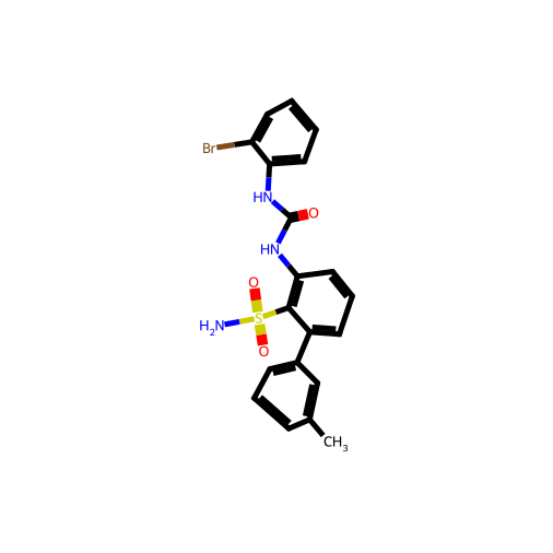 Cc1cccc(-c2cccc(NC(=O)Nc3ccccc3Br)c2S(N)(=O)=O)c1